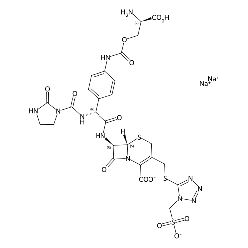 N[C@H](COC(=O)Nc1ccc([C@@H](NC(=O)N2CCNC2=O)C(=O)N[C@@H]2C(=O)N3C(C(=O)[O-])=C(CSc4nnnn4CS(=O)(=O)[O-])CS[C@@H]23)cc1)C(=O)O.[Na+].[Na+]